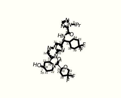 CC(C)n1ncnc1C(=O)N[C@H](c1cn2ncc([C@@H]3C[C@](C)(O)CCN3C(=O)[C@@H]3CCC(F)(F)CO3)nc2n1)C1CCC(F)(F)CC1